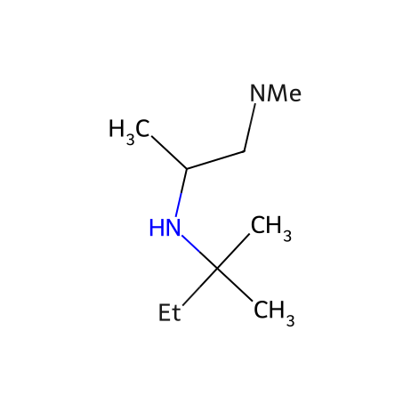 CCC(C)(C)NC(C)CNC